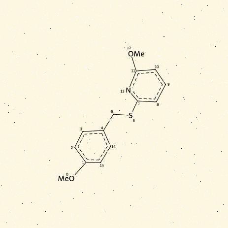 COc1ccc(CSc2cccc(OC)n2)cc1